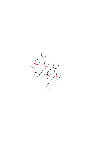 c1ccc(-c2c3ccccc3c(-c3ccc(N(c4ccccc4)c4ccccc4)cc3)c3c(-c4cccc5c(-c6ccccc6)c6ccccc6c(-c6ccc(N(c7ccccc7)c7ccccc7)cc6)c45)cccc23)cc1